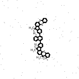 CC1(C)c2ccccc2Sc2c1ccc1c2-c2ccc(-c3ccc(-c4ccc5c(c4)C(C)(C)c4ccc6c(c4-5)Sc4ccccc4S6)c4ccccc34)cc2C1(C)C